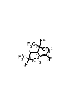 FC(F)=CC(CC(F)(C(F)(F)F)C(F)(F)F)C(F)(C(F)(F)F)C(F)(F)F